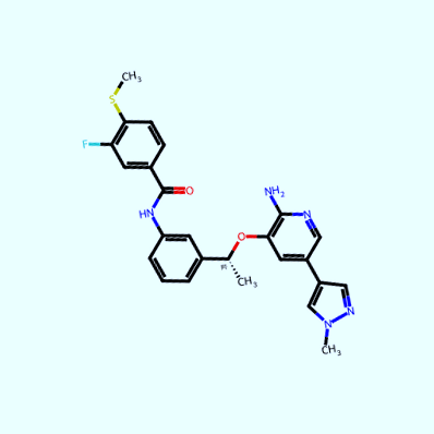 CSc1ccc(C(=O)Nc2cccc([C@@H](C)Oc3cc(-c4cnn(C)c4)cnc3N)c2)cc1F